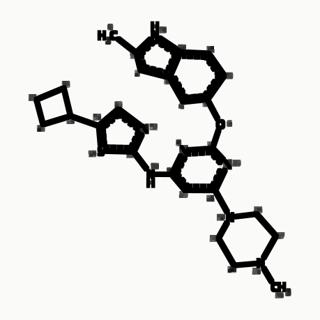 Cc1cc2cc(Oc3nc(Nc4ncc(C5CCC5)s4)cc(N4CCN(C)CC4)n3)ccc2[nH]1